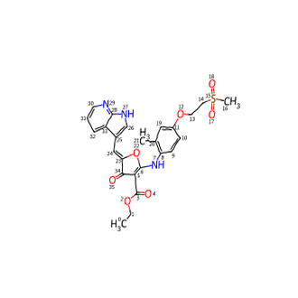 CCOC(=O)C1=C(Nc2ccc(OCCS(C)(=O)=O)cc2C)OC(=Cc2c[nH]c3ncccc23)C1=O